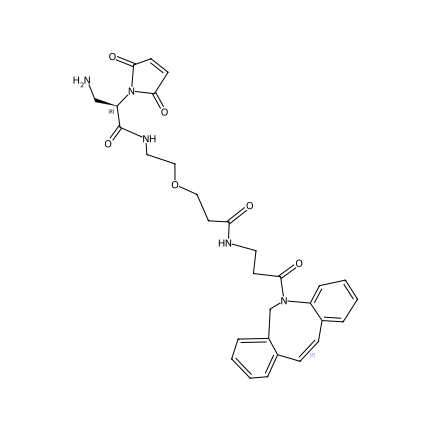 NC[C@H](C(=O)NCCOCCC(=O)NCCC(=O)N1Cc2ccccc2/C=C\c2ccccc21)N1C(=O)C=CC1=O